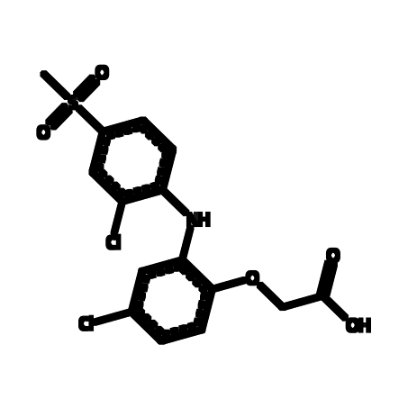 CS(=O)(=O)c1ccc(Nc2cc(Cl)ccc2OCC(=O)O)c(Cl)c1